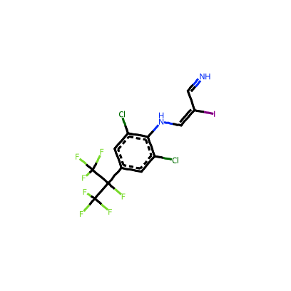 N=C/C(I)=C\Nc1c(Cl)cc(C(F)(C(F)(F)F)C(F)(F)F)cc1Cl